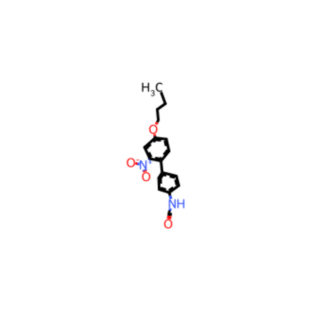 CCCCOc1ccc(-c2ccc(NC=O)cc2)c([N+](=O)[O-])c1